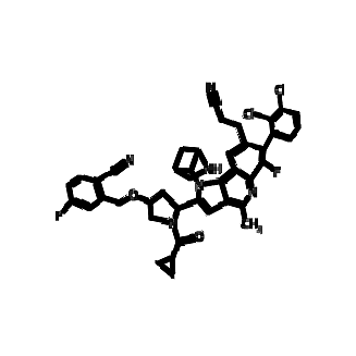 Cc1nc2c(F)c(-c3cccc(Cl)c3Cl)c(CCC#N)cc2c2c1cc(C1CC(OCc3cc(F)ccc3C#N)CN1C(=O)C1CC1)n2C1C2CNC1C2